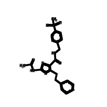 CC(=O)Nc1nc(CCc2cc[c]cc2)c(C(=O)NCc2ccc(S(C)(=O)=O)cc2)s1